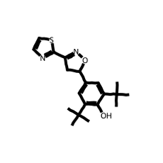 CC(C)(C)c1cc(C2CC(c3nccs3)=NO2)cc(C(C)(C)C)c1O